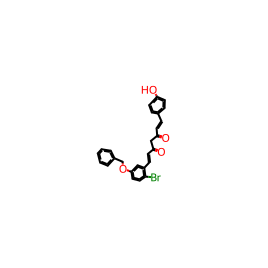 O=C(C=Cc1ccc(O)cc1)CC(=O)C=Cc1cc(OCc2ccccc2)ccc1Br